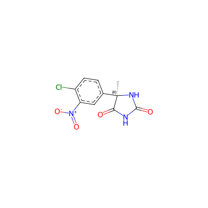 C[C@]1(c2ccc(Cl)c([N+](=O)[O-])c2)NC(=O)NC1=O